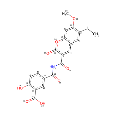 CCc1cc2cc(C(=O)NC(=O)c3ccc(O)c(C(=O)O)c3)c(=O)oc2cc1OC